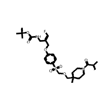 CC(C)C(=O)N1CCC(C)(COCS(=O)(=O)c2ccc(OC/C(=C/F)CNC(=O)OC(C)(C)C)cc2)CC1